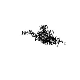 COCCOCCOCC(=O)NCC(=O)N[C@@H](C)C(=O)N[C@@H](CC(N)=O)C(=O)N[C@@H](CCN(C(=O)CO)[C@@H](c1cc(-c2cc(F)ccc2F)cn1Cc1ccccc1)C(C)(C)C)C(=O)NCCNC(=O)CN